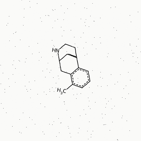 Cc1cccc2c1CC1NCCC23CCCCC13